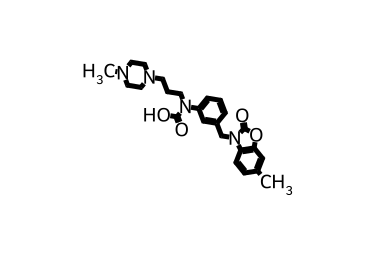 Cc1ccc2c(c1)oc(=O)n2Cc1cccc(N(CCCN2CCN(C)CC2)C(=O)O)c1